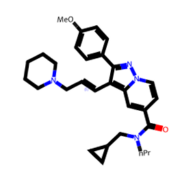 CCCN(CC1CC1)C(=O)c1ccn2nc(-c3ccc(OC)cc3)c(/C=C/CN3CCCCC3)c2c1